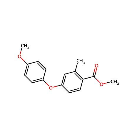 COC(=O)c1ccc(Oc2ccc(OC)cc2)cc1C